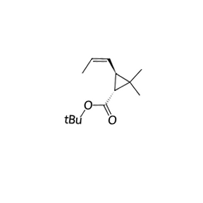 C/C=C\[C@@H]1[C@@H](C(=O)OC(C)(C)C)C1(C)C